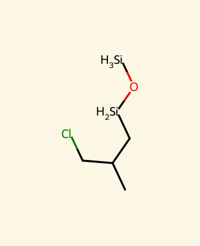 CC(CCl)C[SiH2]O[SiH3]